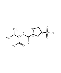 CC(C)[C@H](NC(=O)[C@@H]1C[C@H](S(=O)(=O)O)CN1)C(=O)O